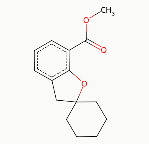 COC(=O)c1cccc2c1OC1(CCCCC1)C2